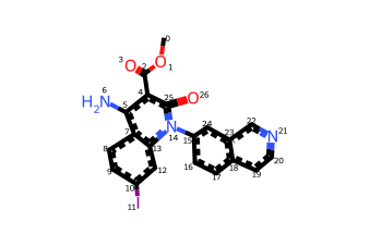 COC(=O)c1c(N)c2ccc(I)cc2n(-c2ccc3ccncc3c2)c1=O